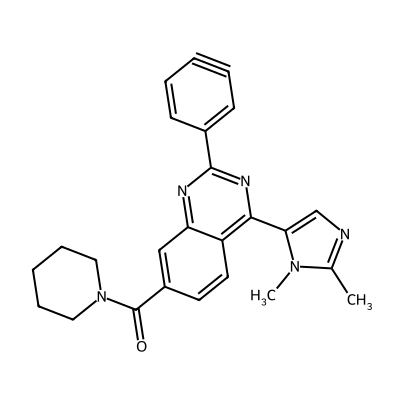 Cc1ncc(-c2nc(-c3cc#ccc3)nc3cc(C(=O)N4CCCCC4)ccc23)n1C